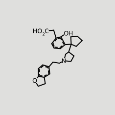 O=C(O)Cc1cccc(C2(C3CCN(CCc4ccc5c(c4)CCO5)C3)CCCC2)c1O